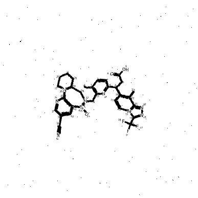 Cc1ccc(C(CC(=O)O)c2ccn3c(C(F)(F)F)nnc3c2C)nc1CN1CC2CCCCN2c2ncc(C#N)cc2[S+]1[O-]